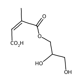 CC(=CC(=O)O)C(=O)OCC(O)CO